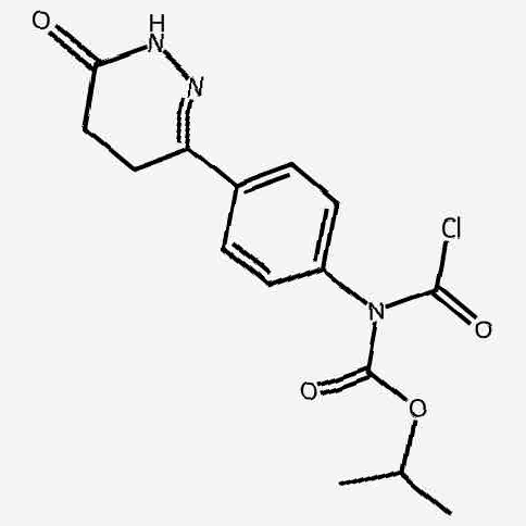 CC(C)OC(=O)N(C(=O)Cl)c1ccc(C2=NNC(=O)CC2)cc1